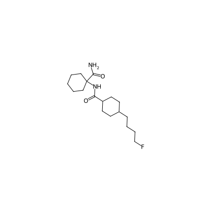 NC(=O)C1(NC(=O)C2CCC(CCCCF)CC2)CCCCC1